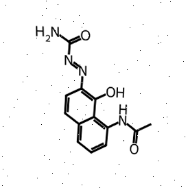 CC(=O)Nc1cccc2ccc(/N=N/C(N)=O)c(O)c12